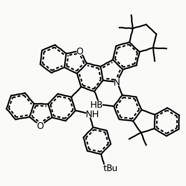 CC(C)(C)c1ccc(Nc2cc3oc4ccccc4c3cc2-c2c3c4c(c5cc6c(cc5n4-c4cc5c(cc4B3)C(C)(C)c3ccccc3-5)C(C)(C)CCC6(C)C)c3oc4ccccc4c23)cc1